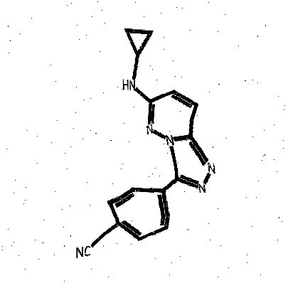 N#Cc1ccc(-c2nnc3ccc(NC4CC4)nn23)cc1